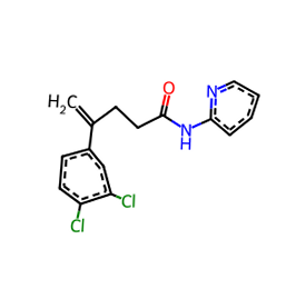 C=C(CCC(=O)Nc1ccccn1)c1ccc(Cl)c(Cl)c1